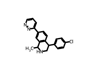 CC1NCC(c2ccc(Cl)cc2)c2ccc(-c3cccnn3)cc21